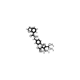 CC(C)c1nn(-c2ccc(CNC(=O)c3cccc4c3OCC4)cc2)c(C(N)=O)c1N